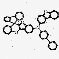 c1ccc(-c2ccc(N(c3ccc4c5c(oc4c3)C3(c4ccccc4O5)c4ccccc4-c4ccccc43)c3ccc4oc5ccccc5c4c3)cc2)cc1